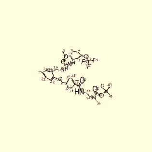 COc1ccc(OC(F)(F)F)cc1NC(=O)NCc1ccccc1OCc1ccc(C(=O)NCCN(C)C(=O)OC(C)(C)C)cc1